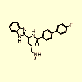 CNCCCC(NC(=O)c1ccc(-c2ccc(F)cc2)cc1)c1nc2ccccc2[nH]1